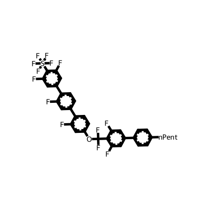 CCCCCc1ccc(-c2cc(F)c(C(F)(F)Oc3ccc(-c4ccc(-c5cc(F)c(S(F)(F)(F)(F)F)c(F)c5)c(F)c4)c(F)c3)c(F)c2)cc1